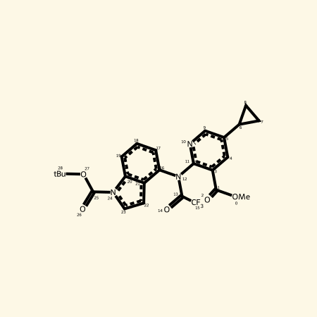 COC(=O)c1cc(C2CC2)cnc1N(C(=O)C(F)(F)F)c1cccc2c1ccn2C(=O)OC(C)(C)C